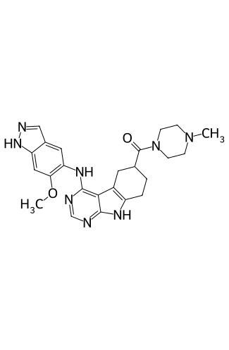 COc1cc2[nH]ncc2cc1Nc1ncnc2[nH]c3c(c12)CC(C(=O)N1CCN(C)CC1)CC3